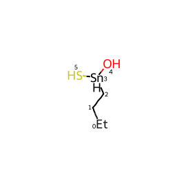 CCC[CH2][SnH]([OH])[SH]